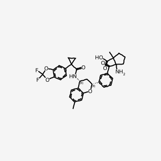 Cc1ccc2c(c1)O[C@@H](c1cccc(C(=O)C3(N)CCCC3(C)C(=O)O)c1)C[C@H]2NC(=O)C1(c2ccc3c(c2)OC(F)(F)O3)CC1